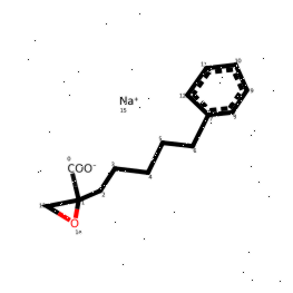 O=C([O-])C1(CCCCCc2ccccc2)CO1.[Na+]